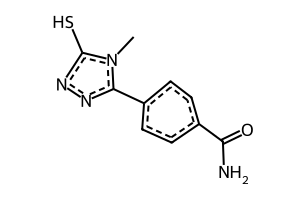 Cn1c(S)nnc1-c1ccc(C(N)=O)cc1